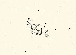 Cc1cc(C2(F)COC2)cc(F)c1-c1nc(C(=O)O)cs1